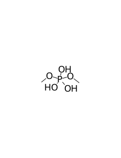 COP(O)(O)(O)OC